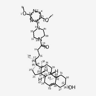 COc1ncc(OC)c(N2CCN(C(=O)CC[C@@H](C)[C@H]3CC[C@H]4[C@@H]5CC=C6C[C@@H](O)CC[C@]6(C)[C@H]5CC[C@]34C)CC2)n1